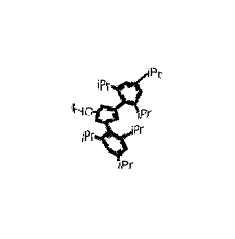 CC(C)c1cc(C(C)C)c(-c2cc(O)cc(-c3c(C(C)C)cc(C(C)C)cc3C(C)C)c2)c(C(C)C)c1